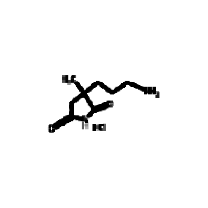 CC1(CCCN)CC(=O)NC1=O.Cl